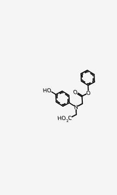 O=C(O)CN(CC(=O)Oc1ccccc1)c1ccc(O)cc1